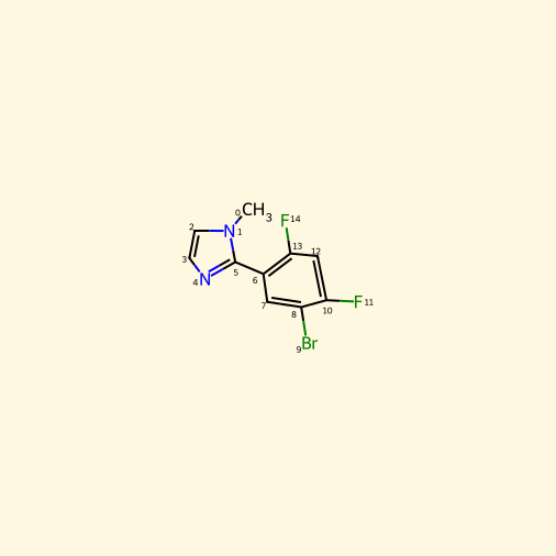 Cn1ccnc1-c1cc(Br)c(F)cc1F